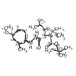 COc1ccc(NNC(=O)[C@@H]2[C@@H](C(C)C)OC(C)(C)N2C(=O)OC(C)(C)C)c(C)c1